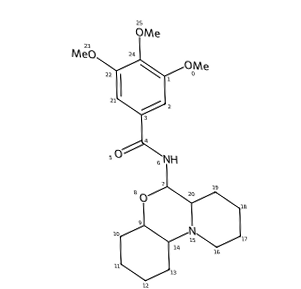 COc1cc(C(=O)NC2OC3CCCCC3N3CCCCC23)cc(OC)c1OC